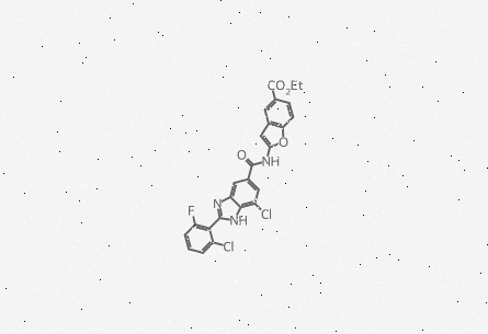 CCOC(=O)c1ccc2oc(NC(=O)c3cc(Cl)c4[nH]c(-c5c(F)cccc5Cl)nc4c3)cc2c1